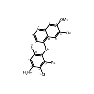 COc1cc2nccc(Oc3c(F)cc(N)c(Cl)c3F)c2cc1C#N